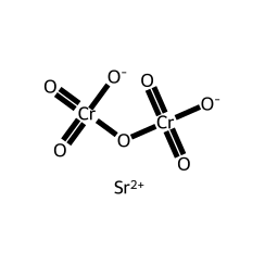 [O]=[Cr](=[O])([O-])[O][Cr](=[O])(=[O])[O-].[Sr+2]